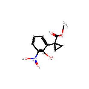 COC(=O)C1(c2cccc([N+](=O)[O-])c2O)CC1